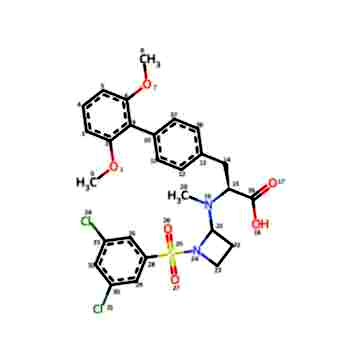 COc1cccc(OC)c1-c1ccc(C[C@@H](C(=O)O)N(C)C2CCN2S(=O)(=O)c2cc(Cl)cc(Cl)c2)cc1